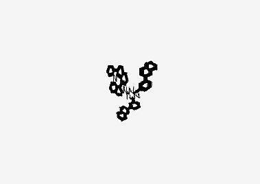 c1cc(-c2ccc3ccccc3c2)cc(-c2nc(-c3cccc(-c4ccc5ccccc5c4)c3)nc(-n3c4ccc5cccc6c5c4c4c5c(ccc7c8ccccc8n6c75)ccc43)n2)c1